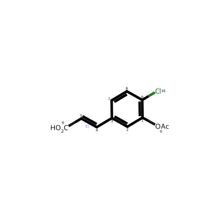 CC(=O)Oc1cc(/C=C/C(=O)O)ccc1Cl